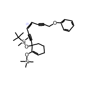 CC(C)(C)[Si](C)(C)OC1(C#C/C=C\C#CCOc2ccccc2)CCCC=C1O[Si](C)(C)C